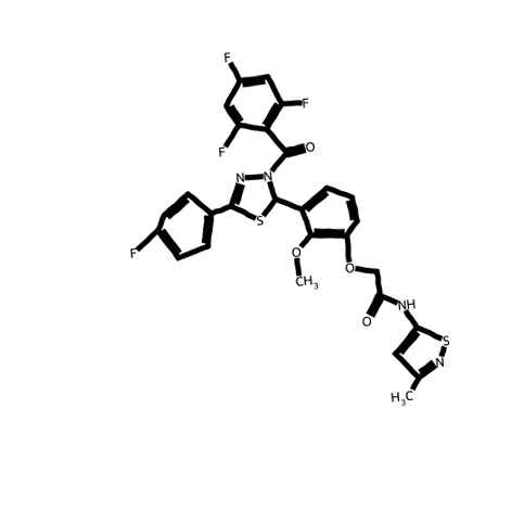 COc1c(OCC(=O)Nc2cc(C)ns2)cccc1C1SC(c2ccc(F)cc2)=NN1C(=O)c1c(F)cc(F)cc1F